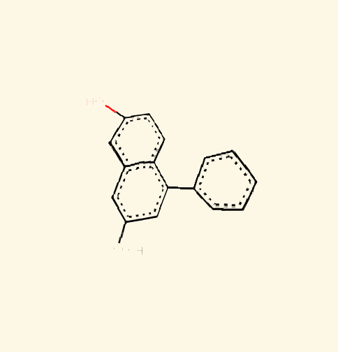 O=C(O)c1cc(-c2ccccc2)c2ccc(O)cc2c1